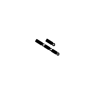 C=C=C=O.C=O